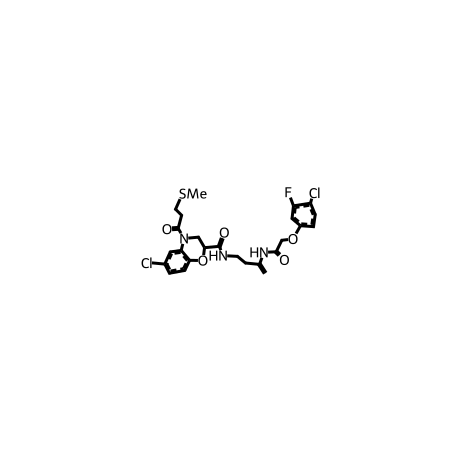 C=C(CCNC(=O)C1CN(C(=O)CCSC)c2cc(Cl)ccc2O1)NC(=O)COc1ccc(Cl)c(F)c1